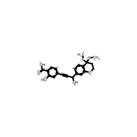 CSC1(SC)CCOc2cc(C(O)C#Cc3ccc(C(=O)O)c(O)c3)ccc21